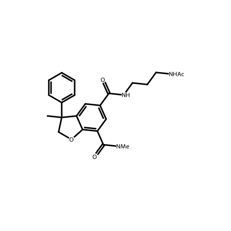 CNC(=O)c1cc(C(=O)NCCCNC(C)=O)cc2c1OCC2(C)c1ccccc1